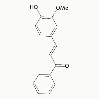 COc1cc(/C=C/C(=O)c2ccccc2)ccc1O